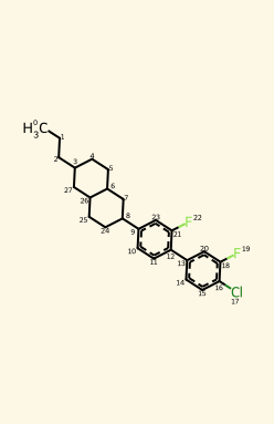 CCCC1CCC2CC(c3ccc(-c4ccc(Cl)c(F)c4)c(F)c3)CCC2C1